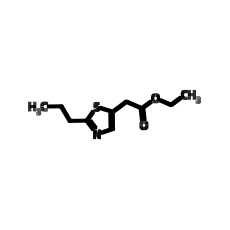 CCCc1ncc(CC(=O)OCC)s1